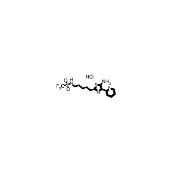 Cl.Nc1sc(CCCCCNS(=O)(=O)C(F)(F)F)nc1-c1ccccn1